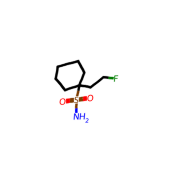 NS(=O)(=O)C1(CCF)CCCCC1